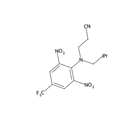 CC(C)CN(CCC#N)c1c([N+](=O)[O-])cc(C(F)(F)F)cc1[N+](=O)[O-]